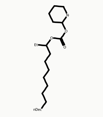 CCCCCCCCCCCCCCCCCC(CC)OC(=O)OC1CCCC[N]1